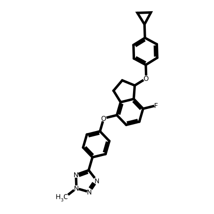 Cn1nnc(-c2ccc(Oc3ccc(F)c4c3CCC4Oc3ccc(C4CC4)cc3)cc2)n1